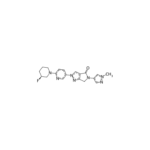 Cn1cc(N2Cc3nn(-c4ccc(N5CCC[C@H](F)C5)nc4)cc3C2=O)cn1